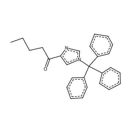 CCCCC(=O)c1cn(C(c2ccccc2)(c2ccccc2)c2ccccc2)cn1